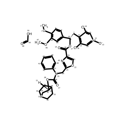 COc1ccc([C@H](Cc2c(Cl)c[n+]([O-])cc2Cl)OC(=O)c2coc(CN(C(=O)O[C@H]3CN4CCC3CC4)c3ccccc3)n2)cc1OC.O=CO